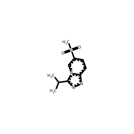 CC(C)c1nnc2ccc(S(C)(=O)=O)cn12